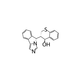 O[C@@H]1c2ccccc2SC[C@H]1[C@H]1c2ccccc2-c2cncn21